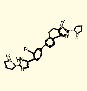 Fc1cc(-c2ccc3c(c2)CCc2[nH]c([C@@H]4CCCN4)nc2-3)ccc1C1CN=C([C@@H]2CCCN2)N1